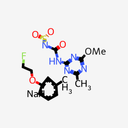 COc1nc(C)nc(NC(=O)N=S(=O)=O)n1.Cc1cccc(OCCF)c1.[NaH]